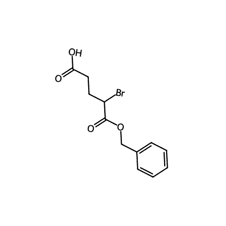 O=C(O)CCC(Br)C(=O)OCc1ccccc1